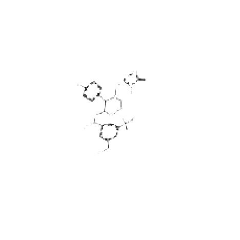 CC(OC1OCCN(Cc2n[nH]c(=O)[nH]2)C1c1ccc(F)cc1)c1cc(CF)cc(C(F)(F)F)c1